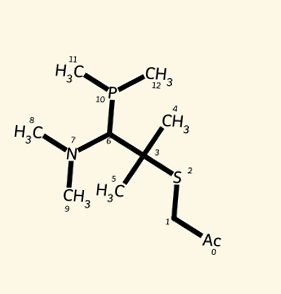 CC(=O)CSC(C)(C)C(N(C)C)P(C)C